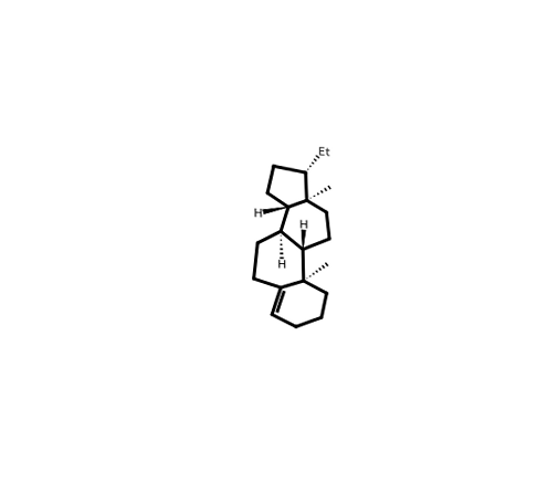 CC[C@H]1CC[C@H]2[C@@H]3CCC4=CCCC[C@]4(C)[C@H]3CC[C@]12C